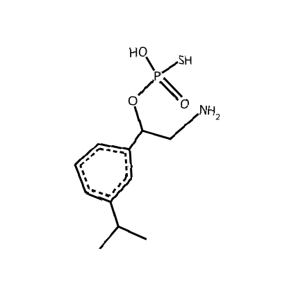 CC(C)c1cccc(C(CN)OP(=O)(O)S)c1